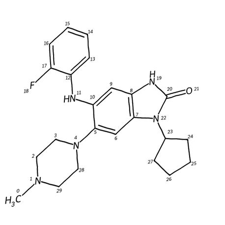 CN1CCN(c2cc3c(cc2Nc2ccccc2F)[nH]c(=O)n3C2CCCC2)CC1